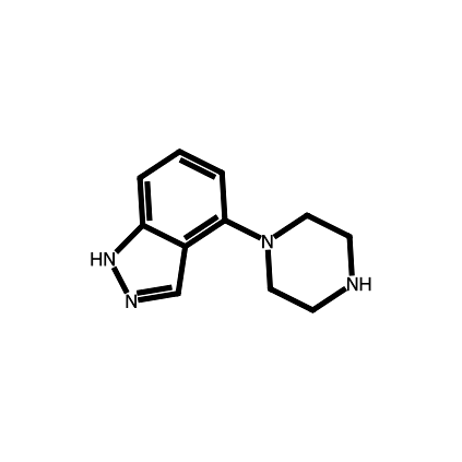 c1cc(N2CCNCC2)c2cn[nH]c2c1